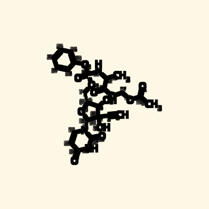 C#C[C@@]1(O)[C@H](O)[C@@H](COP(=O)(NC(C)C(=O)OCOC(C)=O)Oc2ccccc2)O[C@H]1n1ccc(=O)[nH]c1=O